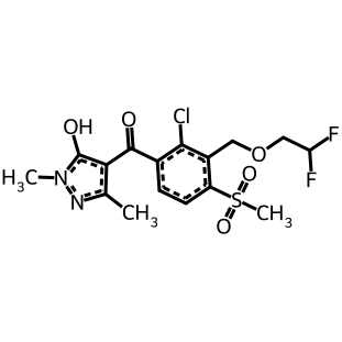 Cc1nn(C)c(O)c1C(=O)c1ccc(S(C)(=O)=O)c(COCC(F)F)c1Cl